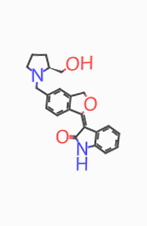 O=C1Nc2ccccc2/C1=C1\OCc2cc(CN3CCC[C@H]3CO)ccc21